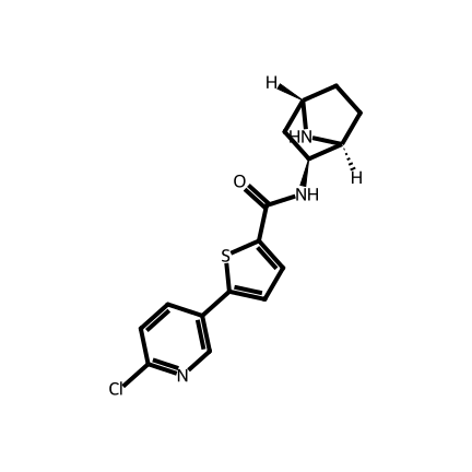 O=C(N[C@H]1C[C@@H]2CC[C@@H]1N2)c1ccc(-c2ccc(Cl)nc2)s1